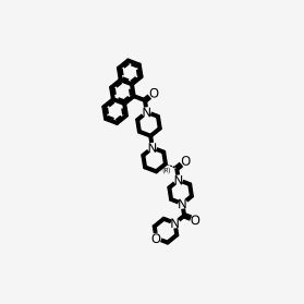 O=C(c1c2ccccc2cc2ccccc12)N1CCC(N2CCC[C@@H](C(=O)N3CCN(C(=O)N4CCOCC4)CC3)C2)CC1